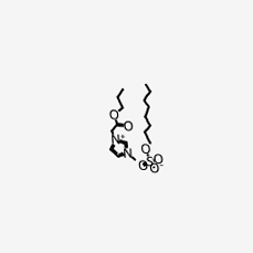 CCCCCCCCOS(=O)(=O)[O-].CCCOC(=O)C[n+]1ccn(C)c1